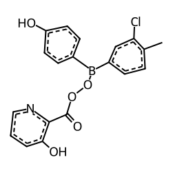 Cc1ccc(B(OOC(=O)c2ncccc2O)c2ccc(O)cc2)cc1Cl